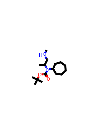 CNCC(C)N(C(=O)OC(C)(C)C)C1CCCCCC1